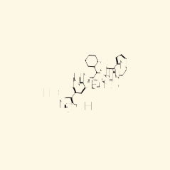 Cc1noc(C)c1-c1ccc(NC(=O)C(NC(=O)C2c3cccn3CCN2C(=O)OC(C)(C)C)C2CCCCC2)nc1